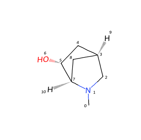 CN1C[C@@H]2C[C@@H](O)[C@H]1C2